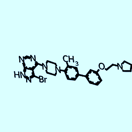 Cc1cc(-c2cccc(OCCN3CCCC3)c2)ccc1N1CCN(c2ncnc3[nH]nc(Br)c23)CC1